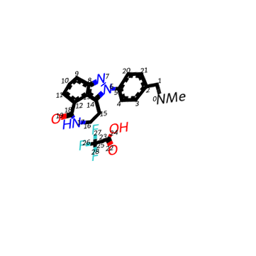 CNCc1ccc(-n2nc3cccc4c3c2CCNC4=O)cc1.O=C(O)C(F)(F)F